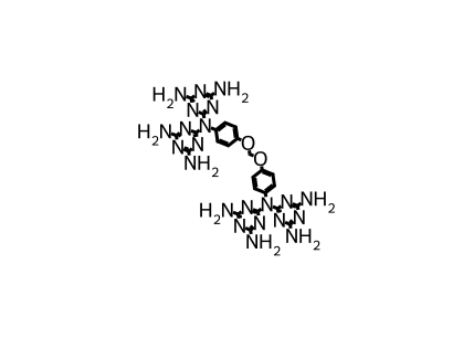 Nc1nc(N)nc(N(c2ccc(OCOc3ccc(N(c4nc(N)nc(N)n4)c4nc(N)nc(N)n4)cc3)cc2)c2nc(N)nc(N)n2)n1